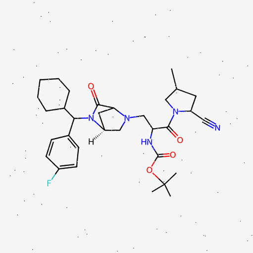 CC1CC(C#N)N(C(=O)C(CN2C[C@@H]3CC2C(=O)N3C(c2ccc(F)cc2)C2CCCCC2)NC(=O)OC(C)(C)C)C1